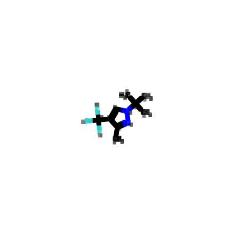 Cc1nn(C(C)(C)C)cc1C(F)(F)F